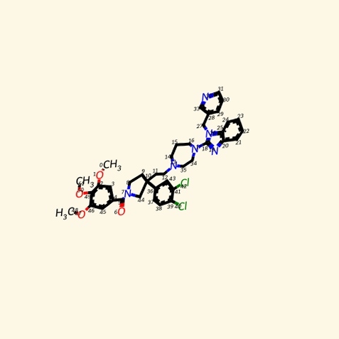 COc1cc(C(=O)N2CCC(CCN3CCCN(c4nc5ccccc5n4Cc4cccnc4)CC3)(c3ccc(Cl)c(Cl)c3)C2)cc(OC)c1OC